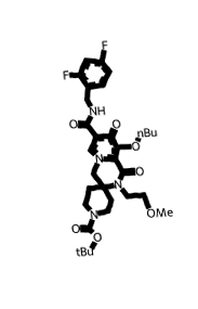 CCCCOc1c2n(cc(C(=O)NCc3ccc(F)cc3F)c1=O)CC1(CCN(C(=O)OC(C)(C)C)CC1)N(CCOC)C2=O